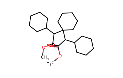 COC(=O)C(C1CCCCC1)C1(C(C(=O)OC)C2CCCCC2)CCCCC1